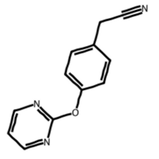 N#CCc1ccc(Oc2ncccn2)cc1